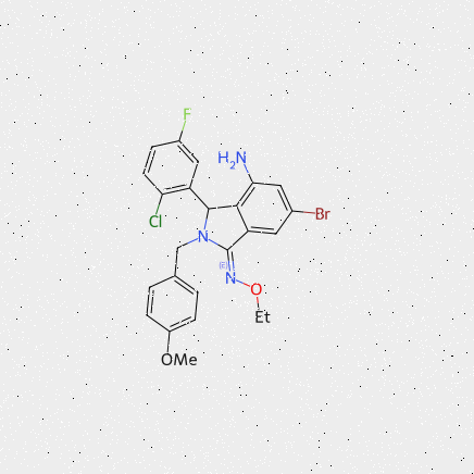 CCO/N=C1\c2cc(Br)cc(N)c2C(c2cc(F)ccc2Cl)N1Cc1ccc(OC)cc1